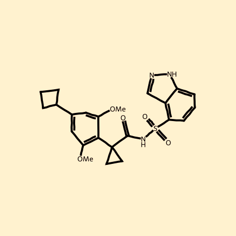 COc1cc(C2CCC2)cc(OC)c1C1(C(=O)NS(=O)(=O)c2cccc3[nH]ncc23)CC1